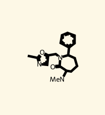 CNC1CCCC(c2ccccc2)N(Cc2cnc(C)o2)C1=O